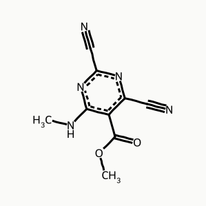 CNc1nc(C#N)nc(C#N)c1C(=O)OC